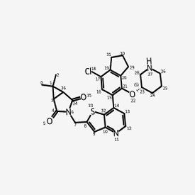 CC1(C)C2C(=O)N(Cc3cc4nccc(-c5cc(Cl)c6c(c5O[C@H]5CCCNC5)CCC6)c4s3)C(=O)C21